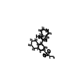 CCS(=O)(=O)c1cc2c(c(-c3nc4cnccc4[nH]3)c1)CCCC2